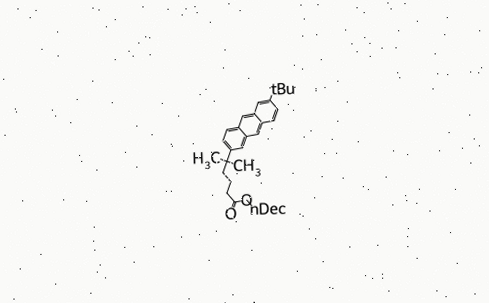 CCCCCCCCCCOC(=O)CCCC(C)(C)c1ccc2cc3cc(C(C)(C)C)ccc3cc2c1